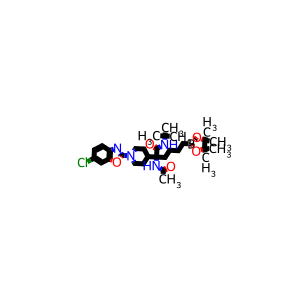 CC(=O)NC(CCCCB1OC(C)(C)C(C)(C)O1)(C(=O)NC(C)(C)C)C1CCN(c2nc3ccc(Cl)cc3o2)CC1